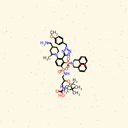 COc1ccc(Cn2nnc(-c3c(N4CCC(CN)CC4C)ccc(S(=O)(=O)NCC(CNC(=O)O)O[Si](C)(C)C(C)(C)C)c3S(=O)(=O)N(Cc3ccccc3)Cc3ccccc3)n2)cc1